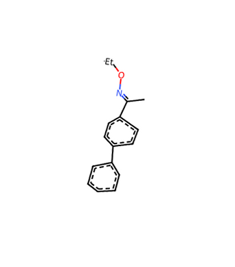 [CH2][CH]ON=C(C)c1ccc(-c2ccccc2)cc1